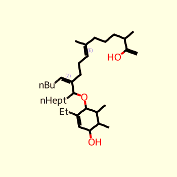 C=C(O)C(C)CCC/C(C)=C/CC/C(=C/CCCC)C(CCCCCCC)OC1C(CC)=CC(O)C(C)C1C